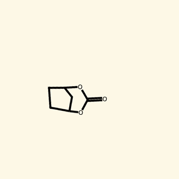 O=C1OC2CCC(C2)O1